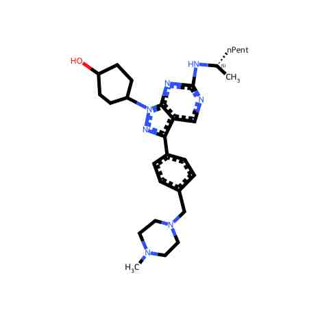 CCCCC[C@H](C)Nc1ncc2c(-c3ccc(CN4CCN(C)CC4)cc3)nn(C3CCC(O)CC3)c2n1